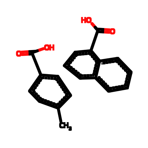 Cc1ccc(C(=O)O)cc1.O=C(O)c1cccc2ccccc12